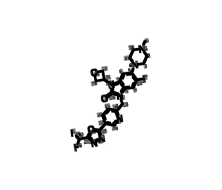 CN1CCN(c2cc3c(cc2F)n(Cc2ccc(-c4nnc(C(F)F)o4)cn2)c(=O)n3C2COC2)CC1